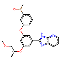 COC[C@H](C)Oc1cc(Oc2cccc([S+](C)[O-])c2)cc(-c2nc3cccnc3[nH]2)c1